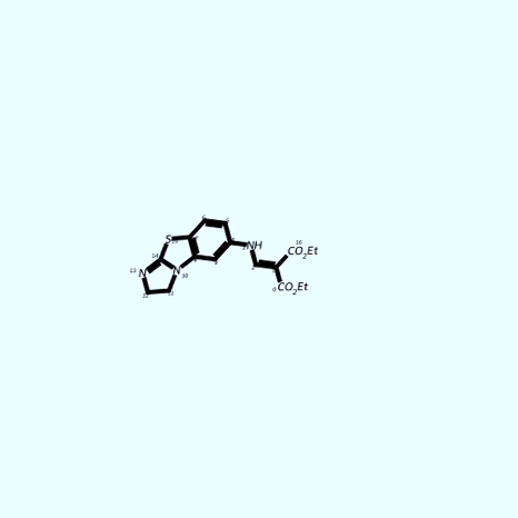 CCOC(=O)C(=CNc1ccc2c(c1)N1CCN=C1S2)C(=O)OCC